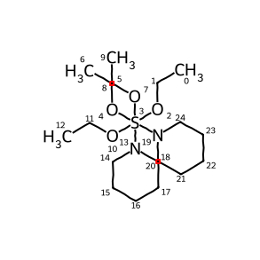 CCOS(OCC)(OCC)(OCC)(N1CCCCC1)N1CCCCC1